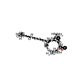 Cn1cc(C[C@@H]2NC(=O)[C@@H](Cc3ccccc3)NC(=O)[C@@H](CCCNC(=N)N)NC(=O)[C@@H](NC(=O)COCCOCCOCCNC(=O)CCCC[C@@H]3SC[C@@H]4NC(=O)N[C@@H]43)Cc3cn(nn3)CCCC[C@@H](C(N)=O)NC(=O)[C@@H](CO)NC2=O)c2ccccc21